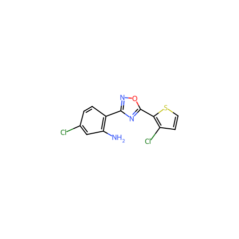 Nc1cc(Cl)ccc1-c1noc(-c2sccc2Cl)n1